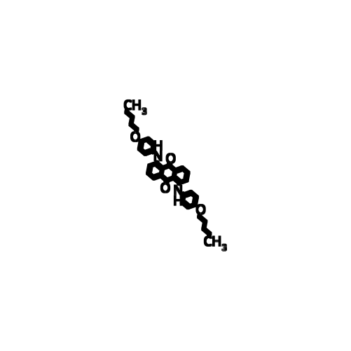 CCCCCOc1ccc(Nc2cccc3c2C(=O)c2cccc(Nc4ccc(OCCCCC)cc4)c2C3=O)cc1